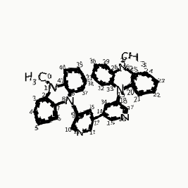 CN1c2ccccc2N(c2cncc(-c3cncc(N4c5ccccc5N(C)c5ccccc54)c3)c2)c2ccccc21